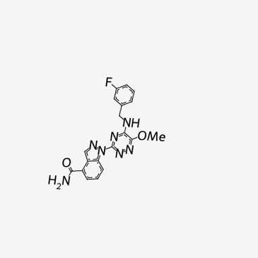 COc1nnc(-n2ncc3c(C(N)=O)cccc32)nc1NCc1cccc(F)c1